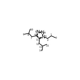 CCCn1nnc(CC(C)C)c1CC(C)C